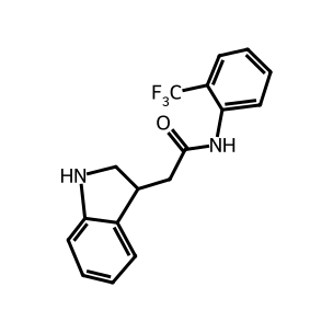 O=C(CC1CNc2ccccc21)Nc1ccccc1C(F)(F)F